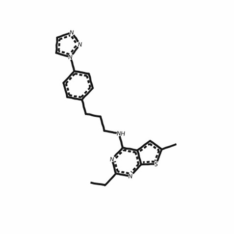 CCc1nc(NCCCc2ccc(-n3ccnn3)cc2)c2cc(C)sc2n1